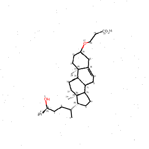 CC(CC[C@H](O)C(C)C)[C@H]1CCC2C3CC=C4CC(OCCC(=O)O)CC[C@]4(C)C3CC[C@@]21C